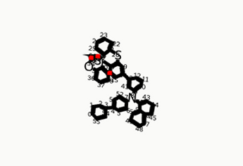 c1ccc(-c2ccc(N(c3cccc(-c4ccc5c(c4)Sc4ccccc4[Si]54c5ccccc5Oc5ccccc54)c3)c3cccc4ccccc34)cc2)cc1